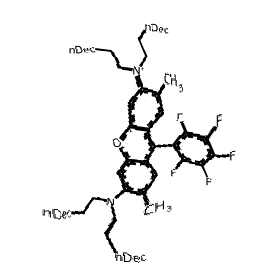 CCCCCCCCCCCCN(CCCCCCCCCCCC)c1cc2oc3cc(=[N+](CCCCCCCCCCCC)CCCCCCCCCCCC)c(C)cc-3c(-c3c(F)c(F)c(F)c(F)c3F)c2cc1C